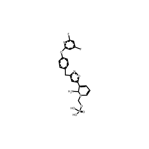 NC1C(c2cc(Cc3ccc(Oc4cc(F)cc(F)n4)cc3)no2)=CC=CN1COP(=O)(O)O